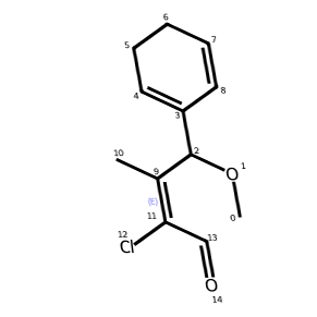 COC(C1=CCCC=C1)/C(C)=C(/Cl)C=O